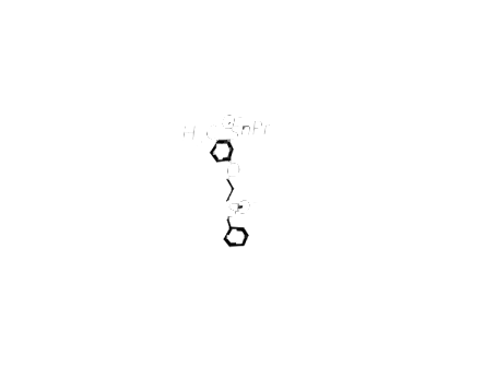 CCC[S+]([O-])c1cc(OCCC[S+]([O-])Cc2ccccc2)ccc1C